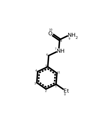 CCc1cccc(CNC(N)=O)c1